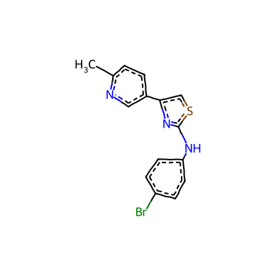 Cc1ccc(-c2csc(Nc3ccc(Br)cc3)n2)cn1